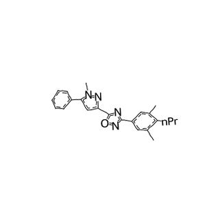 CCCc1c(C)cc(-c2noc(-c3cc(-c4ccccc4)n(C)n3)n2)cc1C